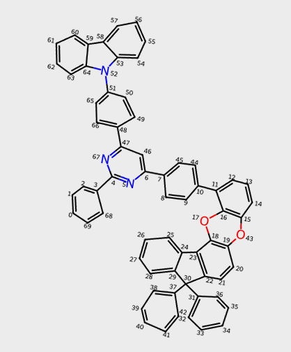 c1ccc(-c2nc(-c3ccc(-c4cccc5c4Oc4c(ccc6c4-c4ccccc4C6(c4ccccc4)c4ccccc4)O5)cc3)cc(-c3ccc(-n4c5ccccc5c5ccccc54)cc3)n2)cc1